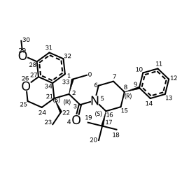 CC[C@@H](C(=O)N1CC[C@@H](c2ccccc2)C[C@H]1C(C)(C)C)[C@]1(CC)CCOc2c(OC)cccc21